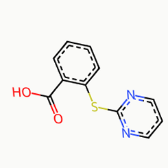 O=C(O)c1ccccc1Sc1ncccn1